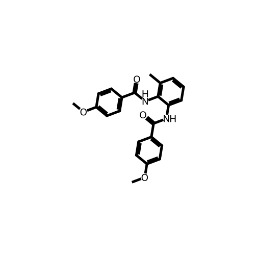 COc1ccc(C(=O)Nc2cccc(C)c2NC(=O)c2ccc(OC)cc2)cc1